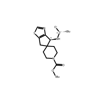 CC(C)(C)OC(=O)N1CCC2(CC1)Cc1scnc1[C@H]2N[S@+]([O-])C(C)(C)C